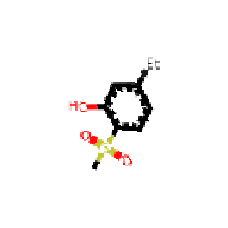 CCc1ccc(S(C)(=O)=O)c(O)c1